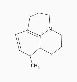 CC1C=CC2=C3C1CCCN3CCC2